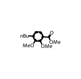 CCCCc1ccc(C(=O)OC)c(OC)c1OC